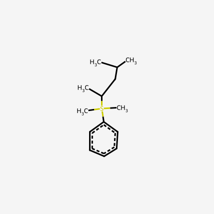 CC(C)CC(C)S(C)(C)c1ccccc1